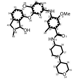 COc1cc(C(=O)NC2CCN(C3CCOCC3)CC2)c(C)cc1Nc1ncc(Cl)c(Oc2cccc3c2C(O)N(C)C3)n1